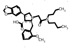 CCCCN(CCCC)C(=O)CN1C[C@H](c2ccc3c(c2)OCO3)[C@@H](C(=O)O)[C@@H]1Cc1ccccc1OC